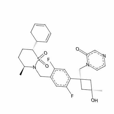 C[C@H]1CC[C@H](C2C=CC=CC2)S(=O)(=O)N1Cc1cc(F)c([C@]2(Cn3ccncc3=O)C[C@](C)(O)C2)cc1F